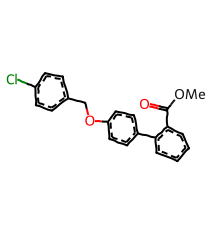 COC(=O)c1ccccc1-c1ccc(OCc2ccc(Cl)cc2)cc1